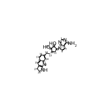 Nc1ncnc2c1ccn2[C@@H]1C[C@H](CCc2ccc3cc4c(nc3c2)NCC4)[C@@H](O)[C@H]1O